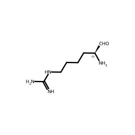 N=C(N)NCCCC[C@H](N)C=O